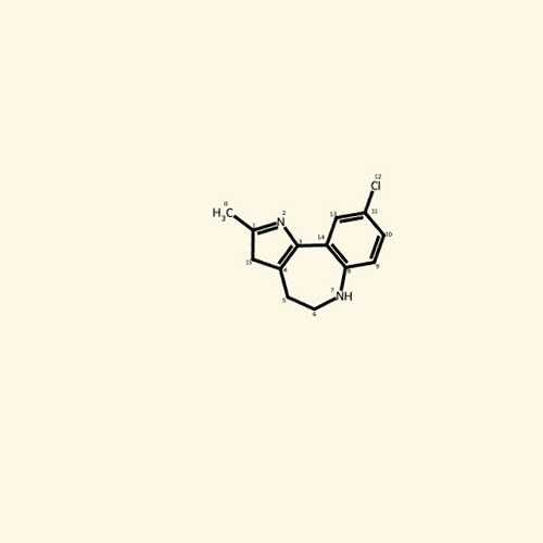 CC1=NC2=C(CCNc3ccc(Cl)cc32)C1